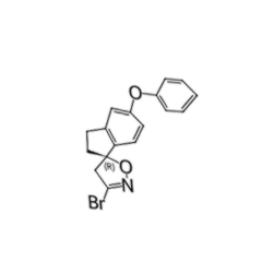 BrC1=NO[C@]2(CCc3cc(Oc4ccccc4)ccc32)C1